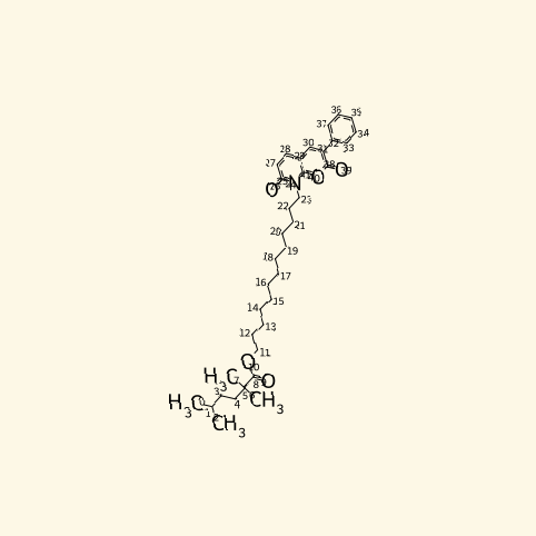 CC(C)CCC(C)(C)C(=O)OCCCCCCCCCCCCCn1c(=O)ccc2cc(-c3ccccc3)c(=O)oc21